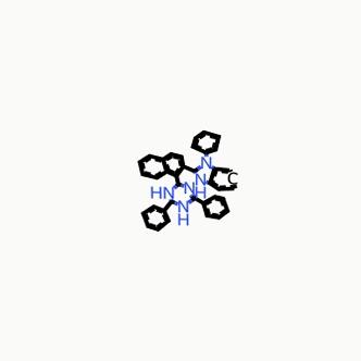 c1ccc(C2=NC(c3c(C4Nc5ccccc5N4c4ccccc4)ccc4ccccc34)NC(c3ccccc3)N2)cc1